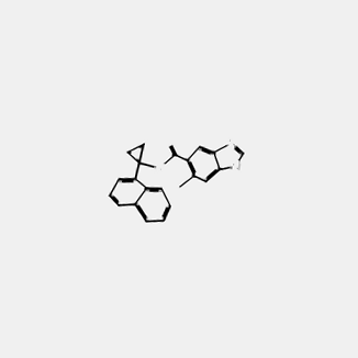 Cc1cc2[nH]cnc2cc1C(=O)NC1(c2cccc3ccccc23)CC1